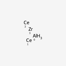 [AlH3].[Ce].[Ce].[Zr]